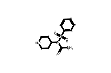 NC(=O)N(C1CCNCC1)S(=O)(=O)c1ccccc1